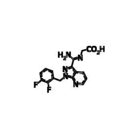 NC(=NCC(=O)O)c1nn(Cc2cccc(F)c2F)c2ncccc12